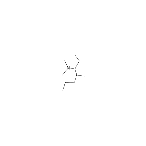 CCCC(C)C(CC)N(C)C